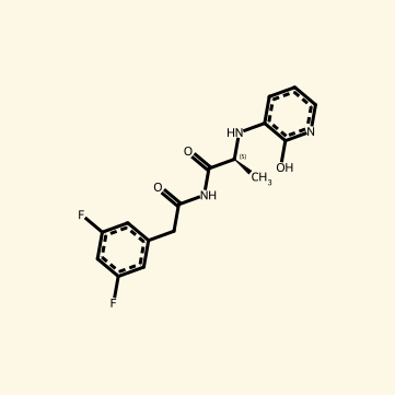 C[C@H](Nc1cccnc1O)C(=O)NC(=O)Cc1cc(F)cc(F)c1